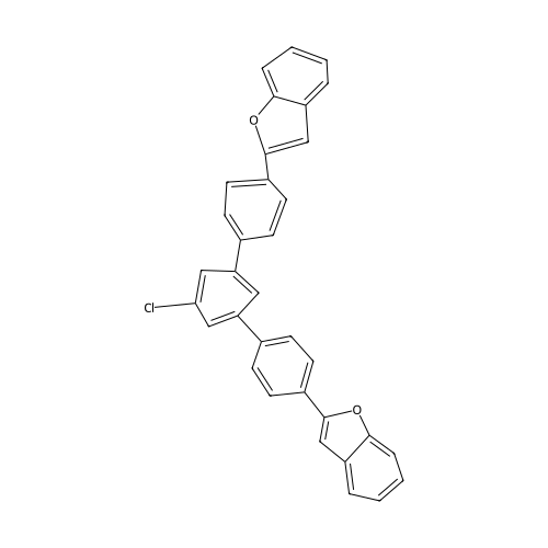 Clc1cc(-c2ccc(-c3cc4ccccc4o3)cc2)cc(-c2ccc(-c3cc4ccccc4o3)cc2)c1